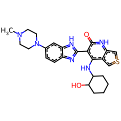 CN1CCN(c2ccc3nc(-c4c(NC5CCCCC5O)c5cscc5[nH]c4=O)[nH]c3c2)CC1